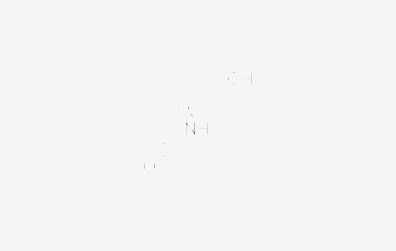 COCSCCNC(=O)CCCCO